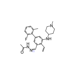 C=Cc1c(/C=N\NC(C)=O)cc(-c2c(C)cccc2F)cc1NC1CCN(C)CC1